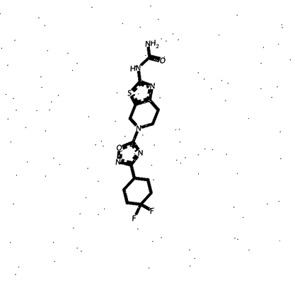 NC(=O)Nc1nc2c(s1)CN(c1nc(C3CCC(F)(F)CC3)no1)CC2